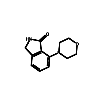 O=C1NCc2cccc(N3CCOCC3)c21